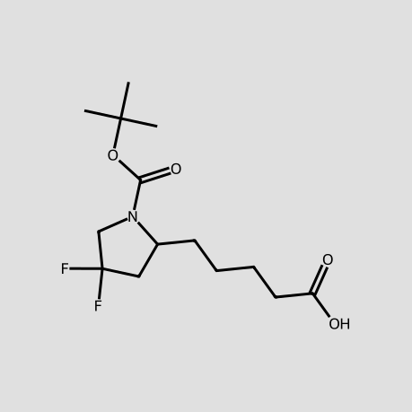 CC(C)(C)OC(=O)N1CC(F)(F)CC1CCCCC(=O)O